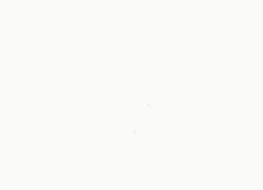 Oc1cccc(CN2CCNCC2)c1